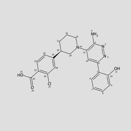 Nc1nnc(-c2ccccc2O)cc1N1CCC[C@H](c2ccc(C(=O)O)c(Cl)c2)C1